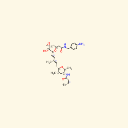 C[CH]/C=C\C(=O)N[C@@H]1C[C@H](C)[C@H](C/C=C(C)/C=C/[C@H]2O[C@H](CC(=O)NCc3ccc(N)cc3)C[C@@]3(CO3)[C@@H]2O)O[C@@H]1C